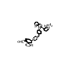 Nc1ncccc1-c1nc2cccnc2n1-c1ccc(CN2CCN(c3ccc(C=O)c(O)c3)CC2)cc1